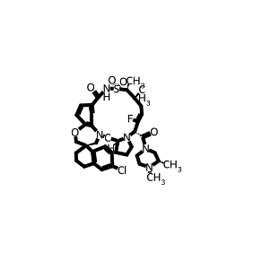 C[C@@H]1[C@@H](C)C/C=C(\F)[C@H](C(=O)N2CCN(C)[C@@H](C)C2)N2CCC[C@H]2CN2C[C@@]3(CCCc4cc(Cl)ccc43)COc3ccc(cc32)C(=O)NS1(=O)=O